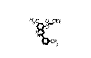 CCOCC(=O)OC1CC(C)Cc2nnc(-c3cccc(C(F)(F)F)c3)cc21